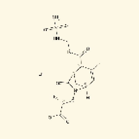 CC1=C[C@@H]2CN(C(=O)N2O[C@@H](F)C(=O)[O-])[C@@H]1C(=O)NCNS(N)(=O)=O.[Li+]